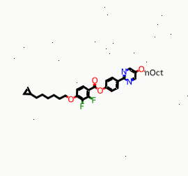 CCCCCCCCOc1cnc(-c2ccc(OC(=O)c3ccc(OCCCCCCC4CC4)c(F)c3F)cc2)nc1